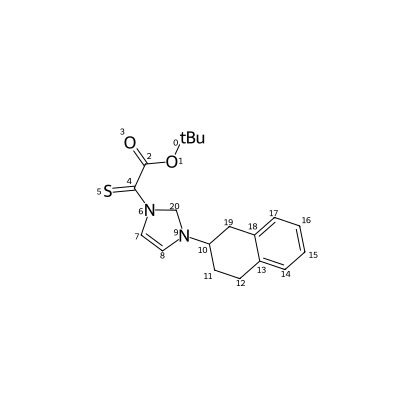 CC(C)(C)OC(=O)C(=S)N1C=CN(C2CCc3ccccc3C2)C1